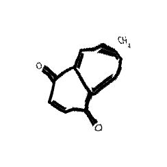 C.O=C1C=CC(=O)c2ccccc21